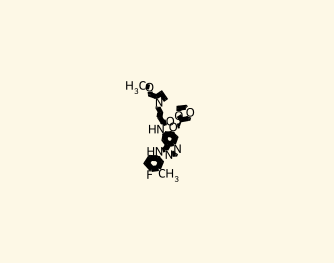 COCC1CCN1C/C=C/C(=O)Nc1cc2c(Nc3ccc(F)c(C)c3)ncnc2cc1OC[C@@H]1COCCO1